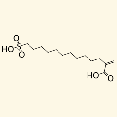 C=C(CCCCCCCCCCCS(=O)(=O)O)C(=O)O